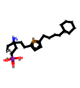 CCC(N)(CCc1ccc(CCCCC2CCCCC2)s1)CCP(=O)(O)O